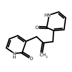 C=C(Cc1ccc[nH]c1=O)Cc1ccc[nH]c1=O